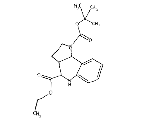 CCOC(=O)C1Nc2ccccc2C2C1CCN2C(=O)OC(C)(C)C